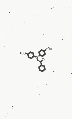 CC(C)(C)c1ccc([S+](CC(=O)c2ccccc2)c2ccc(C(C)(C)C)cc2)cc1